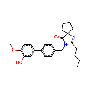 CCCCC1=NC2(CCCC2)C(=O)N1Cc1ccc(-c2ccc(OC)c(O)c2)cc1